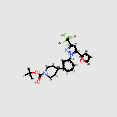 CC(C)(C)OC(=O)N1CCC(c2cccc(-n3nc(C(F)(F)F)cc3-c3ccco3)c2)CC1